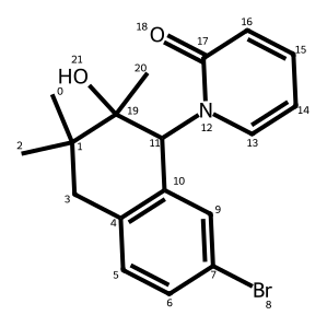 CC1(C)Cc2ccc(Br)cc2C(n2ccccc2=O)C1(C)O